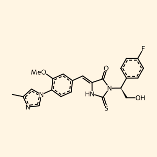 COc1cc(/C=C2\NC(=S)N([C@H](CO)c3ccc(F)cc3)C2=O)ccc1-n1cnc(C)c1